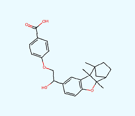 CC12CCC(C1)C1(C)Oc3ccc(C(O)COc4ccc(C(=O)O)cc4)cc3C21C